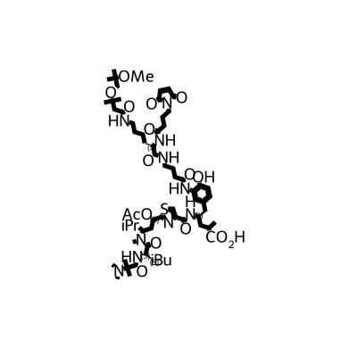 CC[C@H](C)[C@H](NC(=O)C(C)(C)N(C)C)C(=O)N(C)C(C[C@@H](OC(C)=O)c1nc(C(=O)N[C@@H](Cc2ccc(O)c(NC(=O)CCCNC(=O)[C@H](CCCCNC(=O)CC(C)(C)OCC(C)(C)OC)NC(=O)CCCN3C(=O)C=CC3=O)c2)CC(C)C(=O)O)cs1)C(C)C